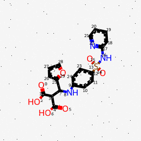 O=C(O)C(C(=O)O)C(Nc1ccc(S(=O)(=O)Nc2ccccn2)cc1)c1ccco1